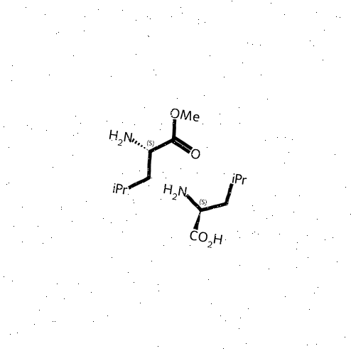 CC(C)C[C@H](N)C(=O)O.COC(=O)[C@@H](N)CC(C)C